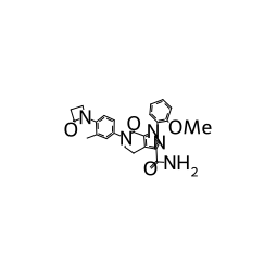 COc1ccccc1-n1nc(C(N)=O)c2c1C(=O)N(c1ccc(N3CCC3=O)c(C)c1)CC2